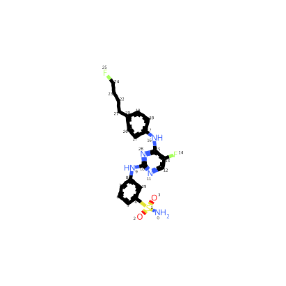 NS(=O)(=O)c1cccc(Nc2ncc(F)c(Nc3ccc(CCCCF)cc3)n2)c1